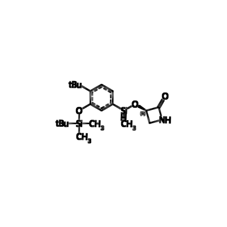 C[SiH](O[C@@H]1CNC1=O)c1ccc(C(C)(C)C)c(O[Si](C)(C)C(C)(C)C)c1